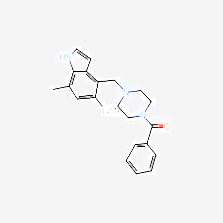 COc1cc(C)c2[nH]ccc2c1CN1CCN(C(=O)c2ccccc2)CC1